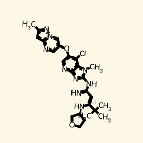 Cc1cc2ncc(Oc3cnc4nc(NC(=N)/C=C(\N[C@H]5CCOC5)C(C)(C)C)n(C)c4c3Cl)cn2n1